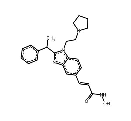 CC(c1ccccc1)c1nc2cc(/C=C/C(=O)NO)ccc2n1CCN1CCCC1